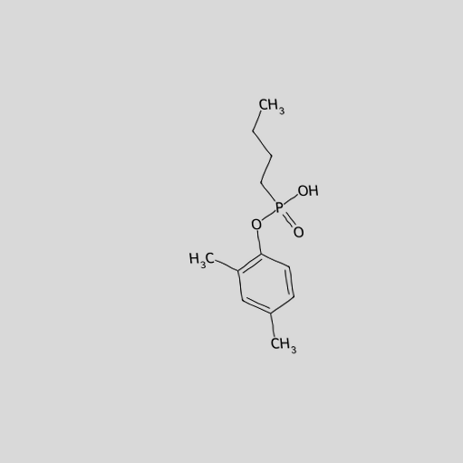 CCCCP(=O)(O)Oc1ccc(C)cc1C